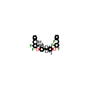 Bc1c(B)c(Oc2ccc(C(C)(C)c3ccc(Oc4c(F)cc(CC5CC6C=CC5C6)c(F)c4F)cc3)cc2)c(F)c(F)c1CC1CC2C=CC1C2